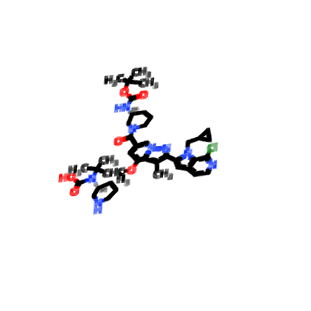 CC(C)(C)N(C(=O)O)[C@@H]1CCCNC1.COc1cc(C(=O)N2CCC[C@@H](NC(=O)OC(C)(C)C)C2)cn2nc(-c3cc4ccnc(Cl)c4n3CC3CC3)c(C)c12